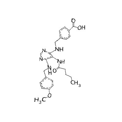 CCCCC(=O)Nc1c(NCc2ccc(OC)cc2)ncnc1NCc1ccc(C(=O)O)cc1